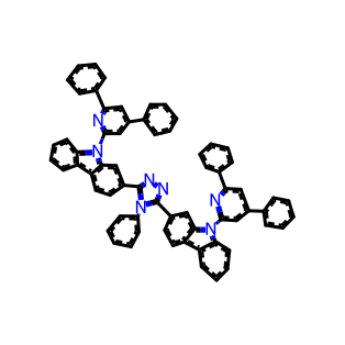 c1ccc(-c2cc(-c3ccccc3)nc(-n3c4ccccc4c4ccc(-c5nnc(-c6ccc7c8ccccc8n(-c8cc(-c9ccccc9)cc(-c9ccccc9)n8)c7c6)n5-c5ccccc5)cc43)c2)cc1